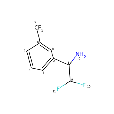 NC(c1cccc(C(F)(F)F)c1)C(F)F